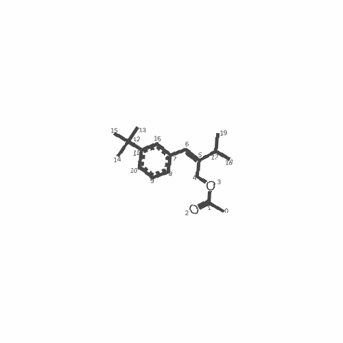 CC(=O)OCC(=Cc1cccc(C(C)(C)C)c1)C(C)C